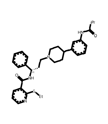 CCSc1ncccc1C(=O)N[C@@H](CCN1CCC(c2cccc(NC(=O)C(C)C)c2)CC1)c1ccccc1